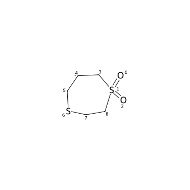 O=S1(=O)C[CH]CSCC1